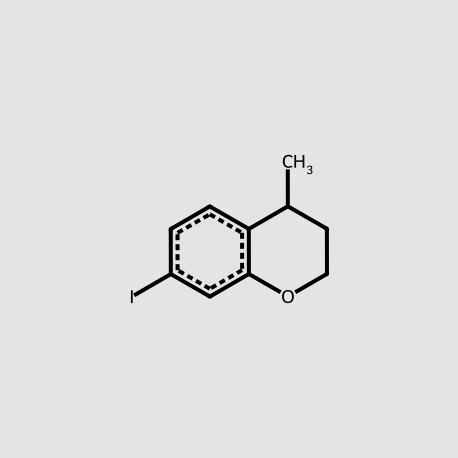 CC1CCOc2cc(I)ccc21